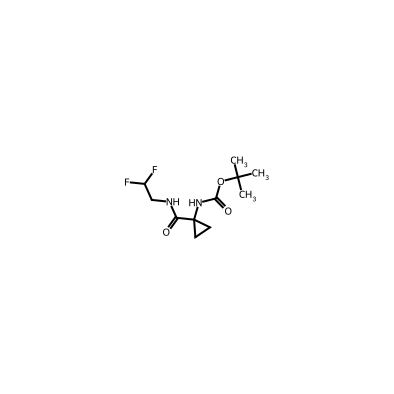 CC(C)(C)OC(=O)NC1(C(=O)NCC(F)F)CC1